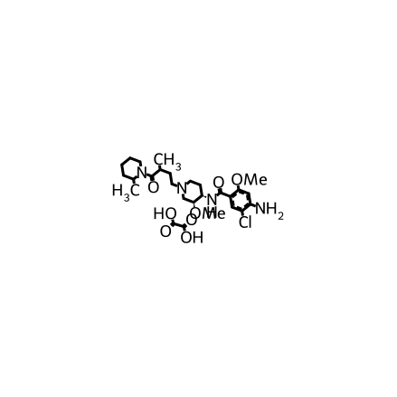 COc1cc(N)c(Cl)cc1C(=O)N[C@H]1CCN(CCC(C)C(=O)N2CCCCC2C)C[C@H]1OC.O=C(O)C(=O)O